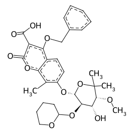 CO[C@@H]1[C@H](O)[C@@H](OC2CCCCO2)[C@H](Oc2ccc3c(OCc4ccccc4)c(C(=O)O)c(=O)oc3c2C)OC1(C)C